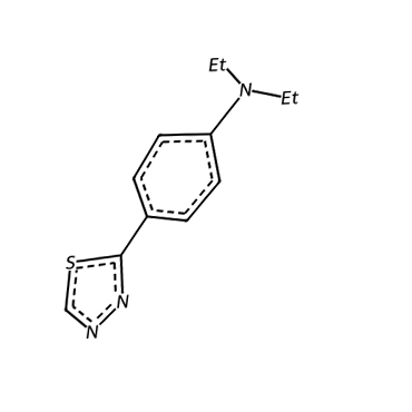 CCN(CC)c1ccc(-c2nncs2)cc1